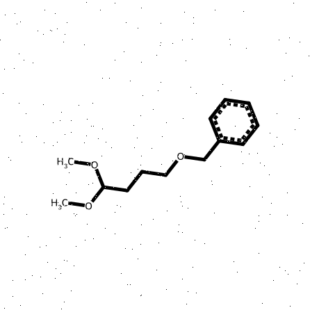 COC(CCCOCc1ccccc1)OC